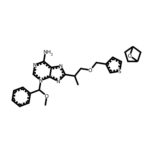 C1CC2CC1O2.COC(c1ccccc1)n1cnc(N)c2nc(C(C)COCc3ccsc3)nc1-2